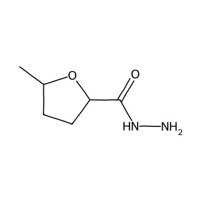 CC1CCC(C(=O)NN)O1